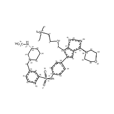 C[Si](C)(C)CCOCn1c(-c2ccc(NS(=O)(=O)c3cc(CN4CCC[C@@H](NC(=O)O)C4)ccn3)cc2)cc2c(N3CCOCC3)ncnc21